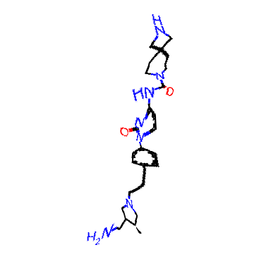 C[C@@H]1CN(CCc2ccc(-n3ccc(NC(=O)N4CCC5(CC4)CNC5)nc3=O)cc2)CC1CN